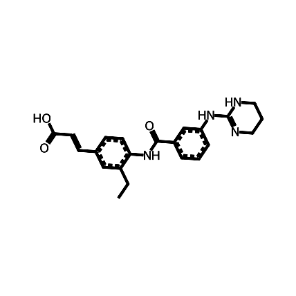 CCc1cc(C=CC(=O)O)ccc1NC(=O)c1cccc(NC2=NCCCN2)c1